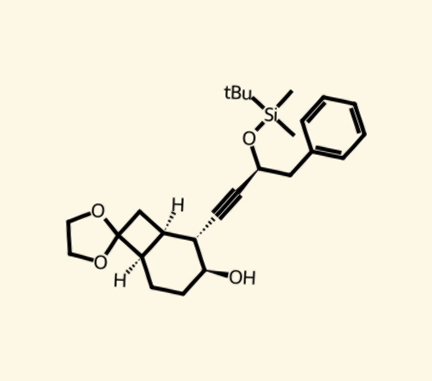 CC(C)(C)[Si](C)(C)O[C@H](C#C[C@H]1[C@@H]2CC3(OCCO3)[C@@H]2CC[C@@H]1O)Cc1ccccc1